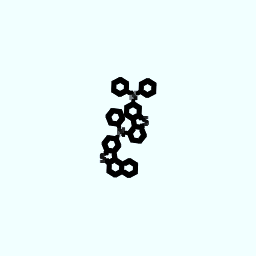 c1ccc(N(c2ccccc2)c2ccc3c(c2)sc2cccc(N(c4ccccc4)c4ccc5sc6ccc7ccccc7c6c5c4)c23)cc1